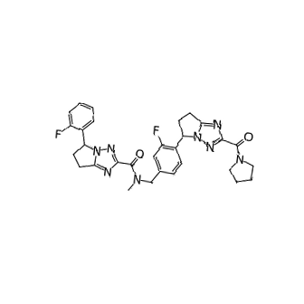 CN(Cc1ccc(C2CCc3nc(C(=O)N4CCCC4)nn32)c(F)c1)C(=O)c1nc2n(n1)C(c1ccccc1F)CC2